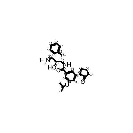 CC(C)Oc1cc(C(=O)N[C@@H](Cc2ccccc2)[C@@H](O)CN)cc(N2CCCC2=O)c1